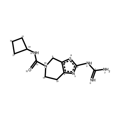 N=C(N)Nc1nc2c(s1)CN(C(=O)NC1CCC1)CC2